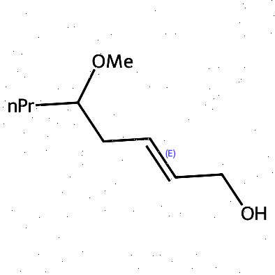 CCCC(C/C=C/CO)OC